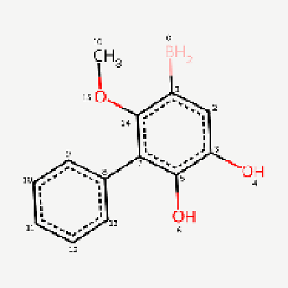 Bc1cc(O)c(O)c(-c2ccccc2)c1OC